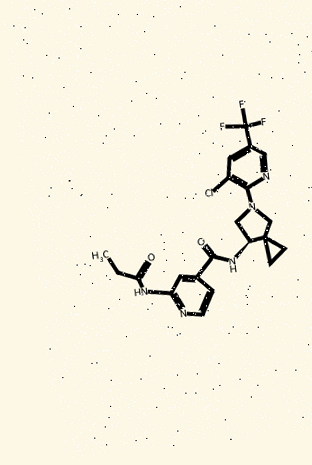 CCC(=O)Nc1cc(C(=O)N[C@H]2CN(c3ncc(C(F)(F)F)cc3Cl)CC23CC3)ccn1